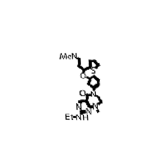 CCNc1ncc2c(n1)N(C)CCN(c1cccc(OC(CCNC)c3cccs3)c1)C2=O